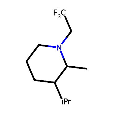 CC(C)C1CCCN(CC(F)(F)F)C1C